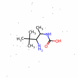 CC(NC(=O)O)C(N)C(C)(C)C